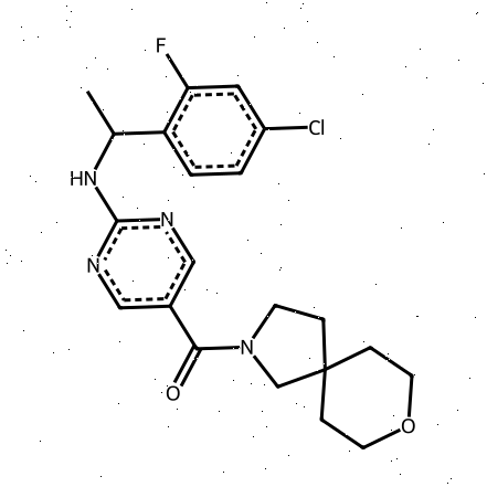 CC(Nc1ncc(C(=O)N2CCC3(CCOCC3)C2)cn1)c1ccc(Cl)cc1F